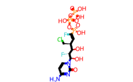 Nc1ccn([C@H](O)[C@H](F)[C@H](O)[C@H](/C=C(\F)P(=O)(O)OP(=O)(O)OP(=O)(O)O)CCl)c(=O)n1